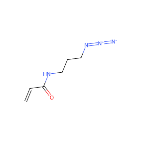 C=CC(=O)NCCCN=[N+]=[N-]